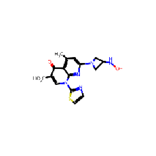 Cc1cc(N2CC(NO)C2)nc2c1c(=O)c(C(=O)O)cn2-c1nccs1